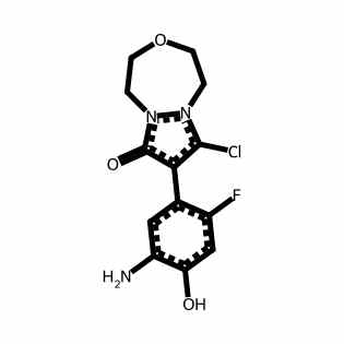 Nc1cc(-c2c(Cl)n3n(c2=O)CCOCC3)c(F)cc1O